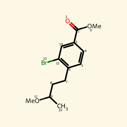 COC(=O)c1ccc(CCC(C)OC)c(Br)c1